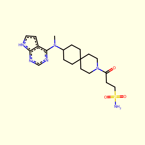 CN(c1ncnc2[nH]ccc12)C1CCC2(CC1)CCN(C(=O)CCS(N)(=O)=O)CC2